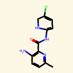 Cc1ccc(N)c(C(=O)NC2=CC=C(Cl)CN2)n1